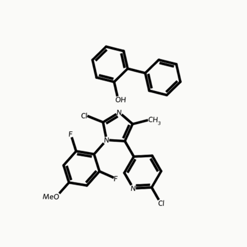 COc1cc(F)c(-n2c(Cl)nc(C)c2-c2ccc(Cl)nc2)c(F)c1.Oc1ccccc1-c1ccccc1